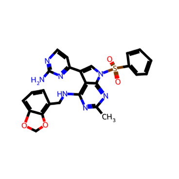 Cc1nc(NCc2cccc3c2OCO3)c2c(-c3ccnc(N)n3)cn(S(=O)(=O)c3ccccc3)c2n1